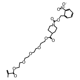 C=C(C)C(=O)OCCOCCOCCOCCOC(=O)C1CCN(C(=O)OCc2ccccc2[N+](=O)[O-])CC1